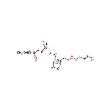 CC/C=C/CCOCCC1C2CCC(O2)C1CCSC(C)CCC(=O)N(C)O